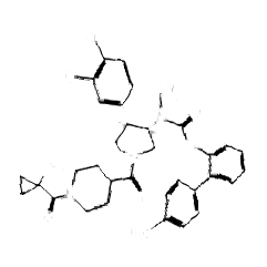 Cc1ccc(-c2ccccc2OC(=O)N(C)[C@H]2CN(C(=O)C3CCN(C(=O)C4(C)CC4)CC3)C[C@@H]2c2ccc(Cl)c(Cl)c2)cc1